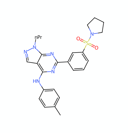 CCCn1ncc2c(Nc3ccc(C)cc3)nc(-c3cccc(S(=O)(=O)N4CCCC4)c3)nc21